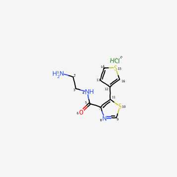 Cl.NCCNC(=O)c1ncsc1-c1ccsc1